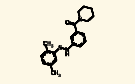 Cc1ccc(C)c(SNc2cccc(C(=O)N3CCCCC3)c2)c1